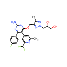 CCc1nn(C[C@H](O)CO)nc1COc1nc(N)nc(-c2ccc(F)cc2)c1-c1cc(C)nc(C(F)F)c1